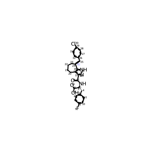 O=C(N[C@H](Cc1ccc(F)cc1)C(=O)O)c1n[nH]c2c1CCCC/C2=C\c1ccc(Cl)cc1